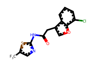 O=C(Cc1coc2c(Cl)cccc12)Nc1ncc(C(F)(F)F)s1